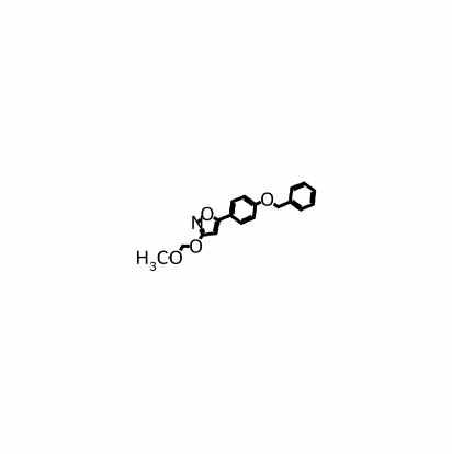 COCOc1cc(-c2ccc(OCc3ccccc3)cc2)on1